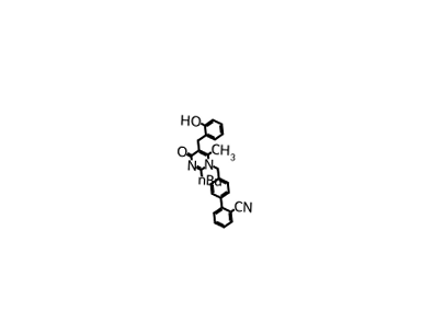 CCCCc1nc(=O)c(Cc2ccccc2O)c(C)n1Cc1ccc(-c2ccccc2C#N)cc1